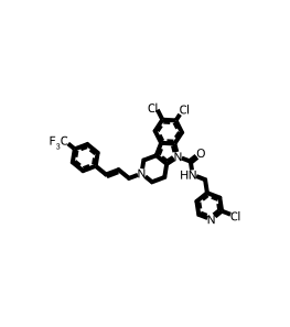 O=C(NCc1ccnc(Cl)c1)n1c2c(c3cc(Cl)c(Cl)cc31)CN(CC=Cc1ccc(C(F)(F)F)cc1)CC2